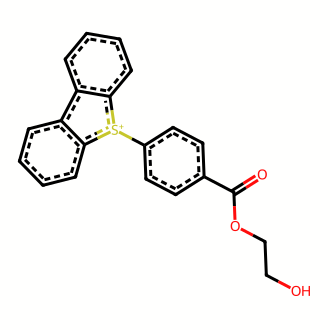 O=C(OCCO)c1ccc(-[s+]2c3ccccc3c3ccccc32)cc1